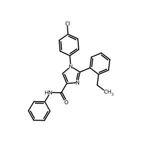 CCc1ccccc1-c1nc(C(=O)Nc2ccccc2)cn1-c1ccc(Cl)cc1